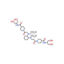 O=C(O)CN(CC(=O)N1CCC(C(=O)NC(CO)CO)CC1)C1CCCCC1N(CCC(=O)N1CCC(C(=O)NC(CO)CO)CC1)C(=O)O